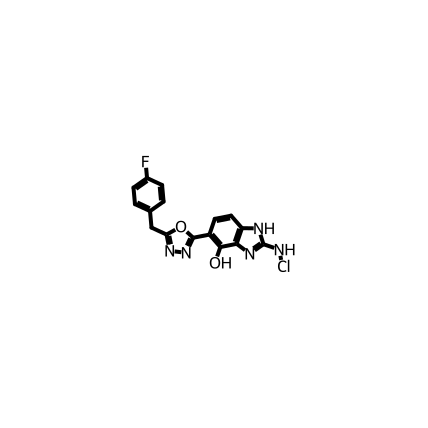 Oc1c(-c2nnc(Cc3ccc(F)cc3)o2)ccc2[nH]c(NCl)nc12